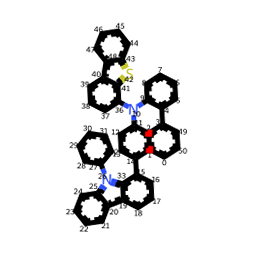 c1ccc(-c2ccccc2N(c2ccc(-c3cccc4c5ccccc5n(-c5ccccc5)c34)cc2)c2cccc3c2sc2ccccc23)cc1